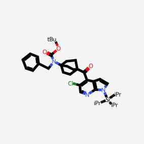 CC(C)[Si](C(C)C)(C(C)C)n1ccc2c(C(=O)C34CCC(N(Cc5ccccc5)C(=O)OC(C)(C)C)(CC3)CC4)c(Cl)cnc21